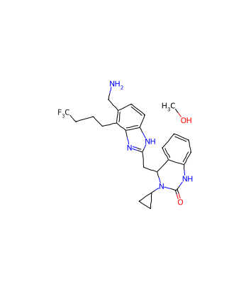 CO.NCc1ccc2[nH]c(CC3c4ccccc4NC(=O)N3C3CC3)nc2c1CCCC(F)(F)F